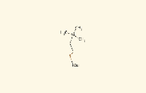 CCCCSCC[Si](C)(C)C